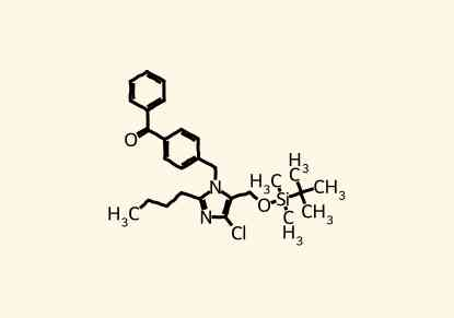 CCCCc1nc(Cl)c(CO[Si](C)(C)C(C)(C)C)n1Cc1ccc(C(=O)c2ccccc2)cc1